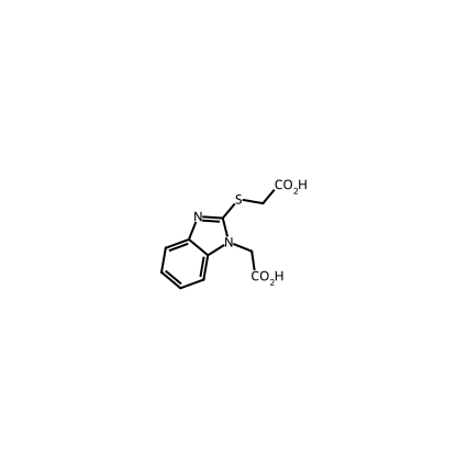 O=C(O)CSc1nc2ccccc2n1CC(=O)O